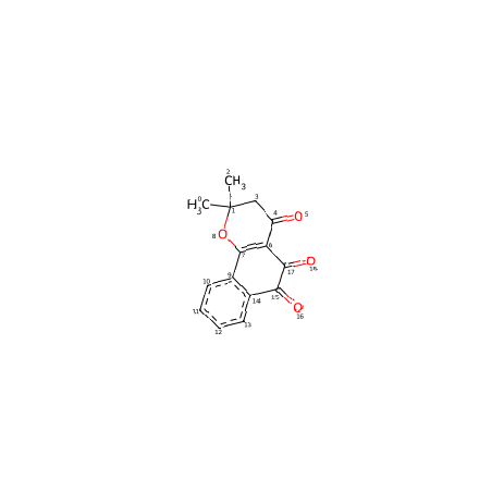 CC1(C)CC(=O)C2=C(O1)c1ccccc1C(=O)C2=O